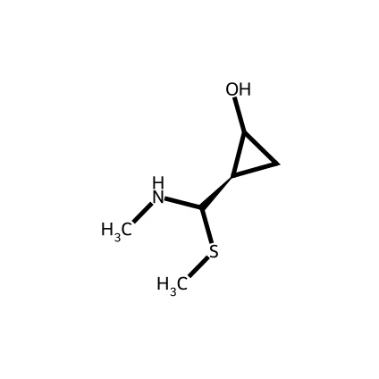 CNC(SC)[C@@H]1CC1O